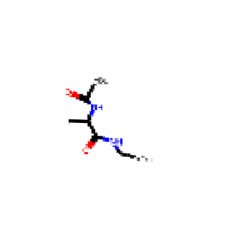 CCCCCCCCCNC(=O)C(C)NC(=O)CCCC